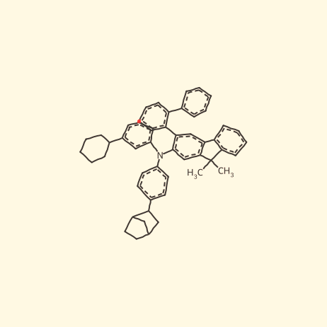 CC1(C)c2ccccc2-c2cc(-c3ccccc3-c3ccccc3)c(N(c3ccc(C4CC5CCC4C5)cc3)c3cccc(C4CCCCC4)c3)cc21